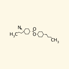 CCCC[C@H]1CC[C@H](OC(=O)[C@H]2CC[C@](C#N)(CCC)CC2)CC1